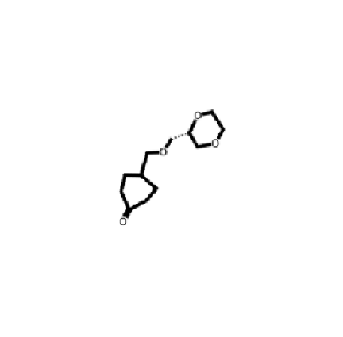 O=C1CCC(COC[C@H]2COCCO2)CC1